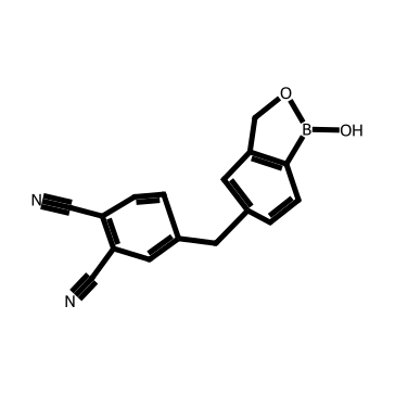 N#Cc1ccc(Cc2ccc3c(c2)COB3O)cc1C#N